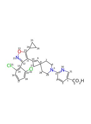 O=C(O)c1ccc(N2CCC3(C=C(c4c(-c5c(Cl)cccc5Cl)noc4C4CC4)C3)CC2)nc1